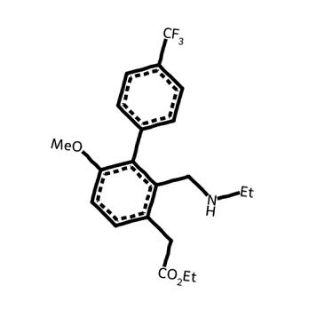 CCNCc1c(CC(=O)OCC)ccc(OC)c1-c1ccc(C(F)(F)F)cc1